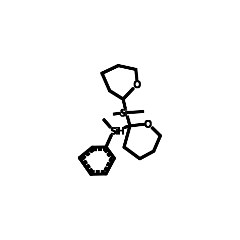 C[SiH](c1ccccc1)C1([Si](C)(C)C2CCCCO2)CCCCO1